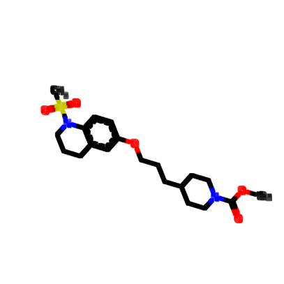 CC(C)(C)OC(=O)N1CCC(CCCOc2ccc3c(c2)CCCN3S(C)(=O)=O)CC1